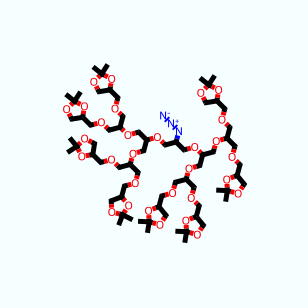 CC1(C)OCC(COCC(COCC2COC(C)(C)O2)OCC(COC(COCC2COC(C)(C)O2)COCC2COC(C)(C)O2)OCC(COC(COC(COCC2COC(C)(C)O2)COCC2COC(C)(C)O2)COC(COCC2COC(C)(C)O2)COCC2COC(C)(C)O2)N=[N+]=[N-])O1